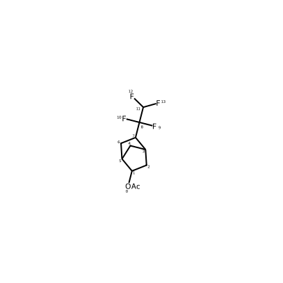 CC(=O)OC1CC2CC1CC2C(F)(F)C(F)F